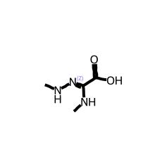 CN/N=C(\NC)C(=O)O